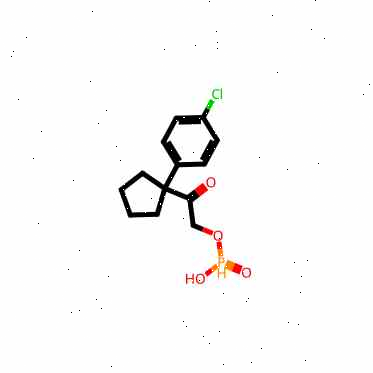 O=C(CO[PH](=O)O)C1(c2ccc(Cl)cc2)CCCC1